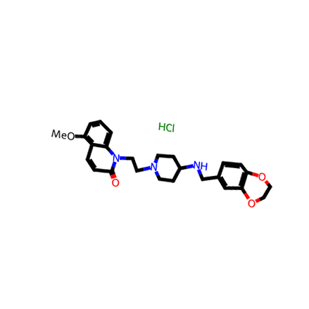 COc1cccc2c1ccc(=O)n2CCN1CCC(NCc2ccc3c(c2)OCCO3)CC1.Cl